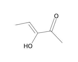 CC=C(O)C(C)=O